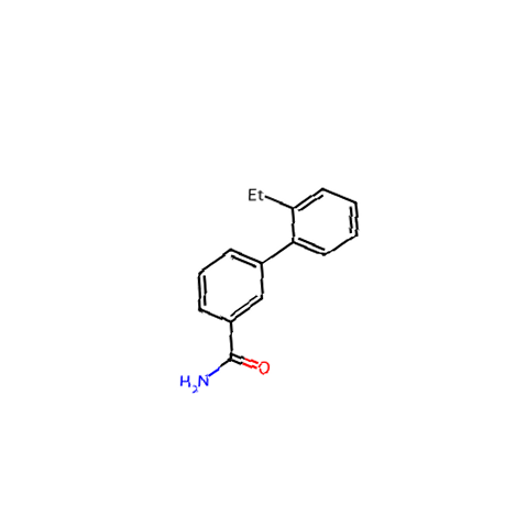 CCc1ccccc1-c1cccc(C(N)=O)c1